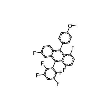 COc1ccc(-c2c3ccc(F)cc3c(-c3c(F)c(F)cc(F)c3F)c3c(F)ccc(F)c23)cc1